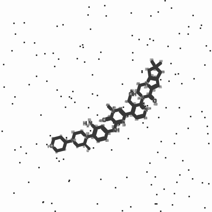 C[C@H]1CN(C2CCOCC2)CCN1c1ccc(Nc2nc(-c3ccnc(N4CCn5c(cc6c5CC(C)(C)C6)C4=O)c3CO)cn(C)c2=O)cc1N